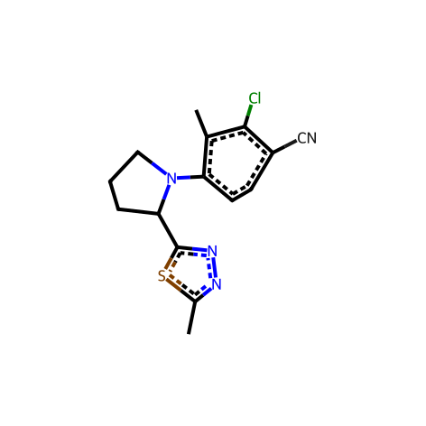 Cc1nnc(C2CCCN2c2ccc(C#N)c(Cl)c2C)s1